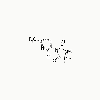 CC1(C)NC(=O)N(c2ccc(C(F)(F)F)nc2Cl)C1=O